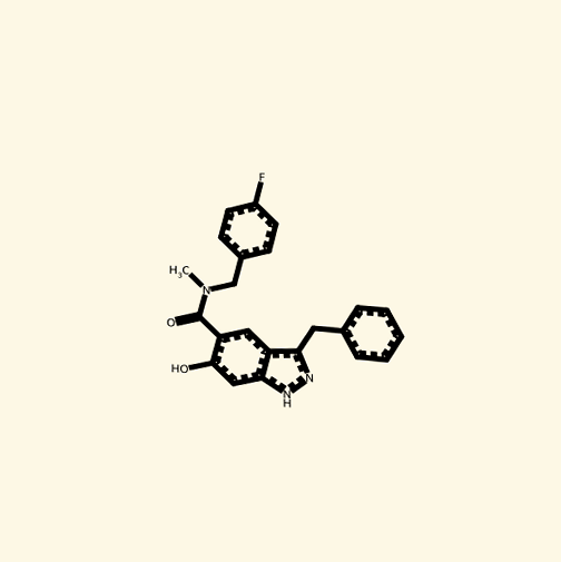 CN(Cc1ccc(F)cc1)C(=O)c1cc2c(Cc3ccccc3)n[nH]c2cc1O